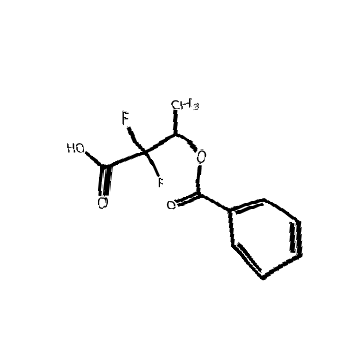 CC(OC(=O)c1ccccc1)C(F)(F)C(=O)O